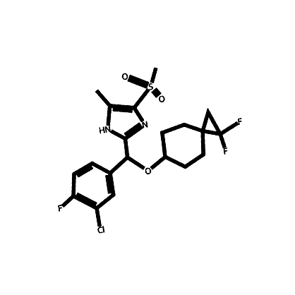 Cc1[nH]c(C(OC2CCC3(CC2)CC3(F)F)c2ccc(F)c(Cl)c2)nc1S(C)(=O)=O